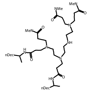 CCCCCCCCCCC(C)NC(=O)CCN(CCNCCN(CCC(=O)NC)CCC(=O)NC)CCN(CCC(=O)NC)CCC(=O)NC(C)CCCCCCCCCC